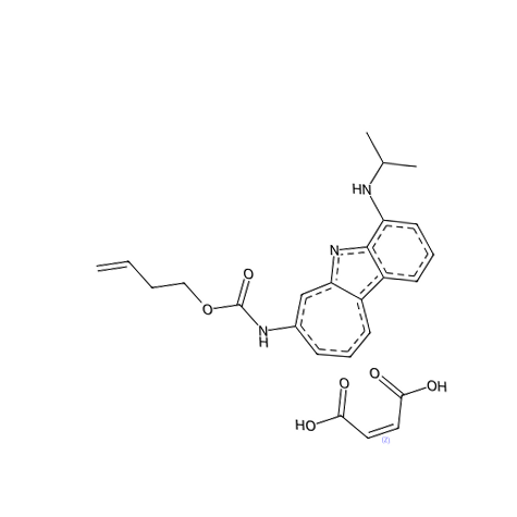 C=CCCOC(=O)Nc1cccc2c3cccc(NC(C)C)c3nc-2c1.O=C(O)/C=C\C(=O)O